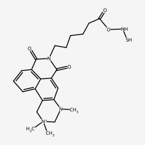 CN1C[N+](C)(C)Cc2c1cc1c3c(cccc23)C(=O)N(CCCCCC(=O)ONS)C1=O